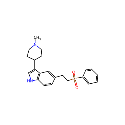 CN1CCC(c2c[nH]c3ccc(CCS(=O)(=O)c4ccccc4)cc23)CC1